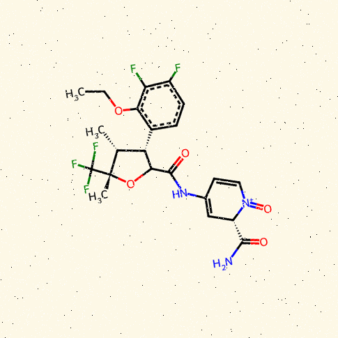 CCOc1c([C@@H]2C(C(=O)NC3=C[C@@H](C(N)=O)[N+](=O)C=C3)O[C@](C)(C(F)(F)F)[C@@H]2C)ccc(F)c1F